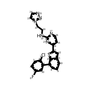 Fc1ccc(Cl)c(-c2cccc3cc(-c4ccnc(NCCn5ccnn5)n4)sc23)c1